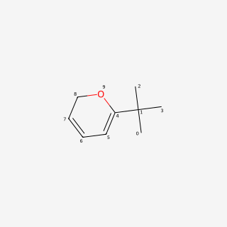 CC(C)(C)C1=CC=CCO1